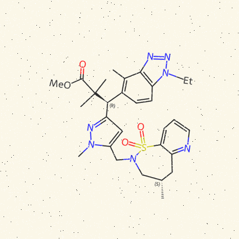 CCn1nnc2c(C)c([C@@H](c3cc(CN4C[C@@H](C)Cc5ncccc5S4(=O)=O)n(C)n3)C(C)(C)C(=O)OC)ccc21